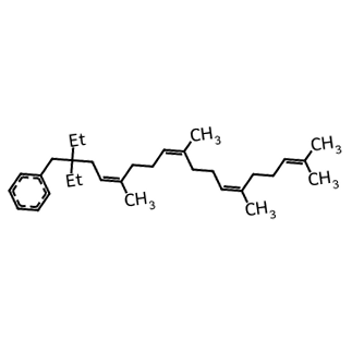 CCC(CC)(CC=C(C)CCC=C(C)CCC=C(C)CCC=C(C)C)Cc1ccccc1